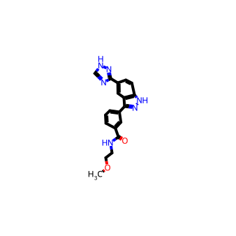 COCCNC(=O)c1cccc(-c2n[nH]c3ccc(-c4nc[nH]n4)cc23)c1